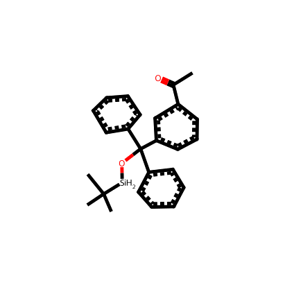 CC(=O)c1cccc(C(O[SiH2]C(C)(C)C)(c2ccccc2)c2ccccc2)c1